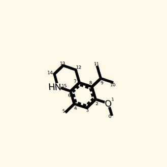 COc1cc(C)c2c(c1C(C)C)CCCN2